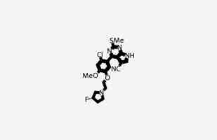 COc1cc(Cl)c(-c2nc(SC)nc3[nH]cc(C#N)c23)cc1OCCN1CC[C@H](F)C1